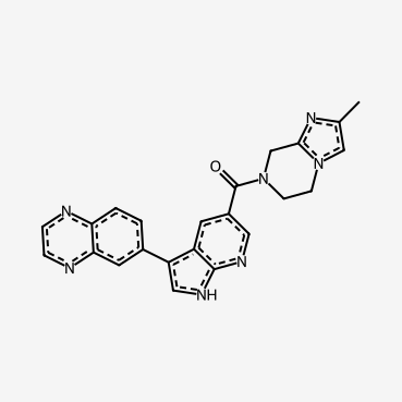 Cc1cn2c(n1)CN(C(=O)c1cnc3[nH]cc(-c4ccc5nccnc5c4)c3c1)CC2